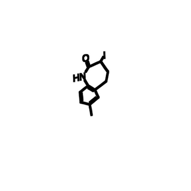 Cc1ccc2c(c1)CCC(I)C(=O)N2